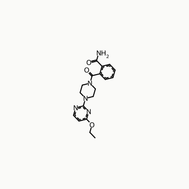 CCOc1ccnc(N2CCN(C(=O)c3ccccc3C(N)=O)CC2)n1